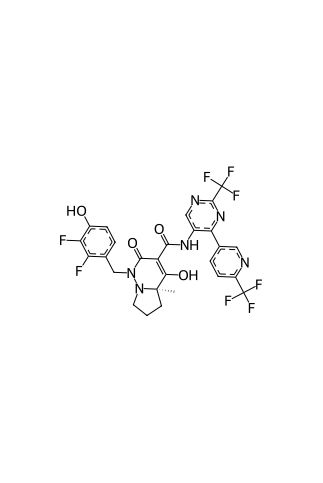 C[C@]12CCCN1N(Cc1ccc(O)c(F)c1F)C(=O)C(C(=O)Nc1cnc(C(F)(F)F)nc1-c1ccc(C(F)(F)F)nc1)=C2O